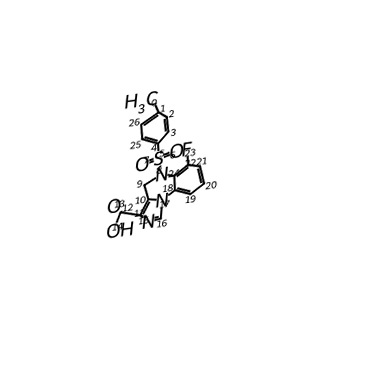 Cc1ccc(S(=O)(=O)N2Cc3c(C(=O)O)ncn3-c3cccc(F)c32)cc1